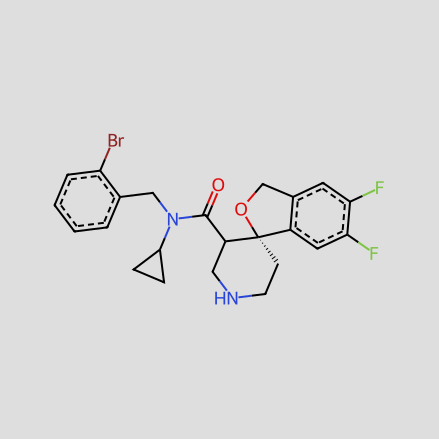 O=C(C1CNCC[C@@]12OCc1cc(F)c(F)cc12)N(Cc1ccccc1Br)C1CC1